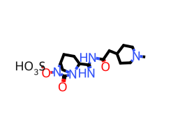 CN1CCC(CC(=O)NC(=N)C2CCC3CN2C(=O)N3OS(=O)(=O)O)CC1